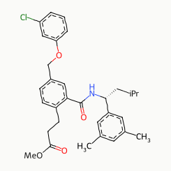 COC(=O)CCc1ccc(COc2cccc(Cl)c2)cc1C(=O)N[C@H](CC(C)C)c1cc(C)cc(C)c1